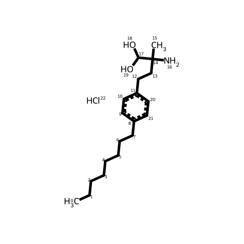 CCCCCCCCc1ccc(CCC(C)(N)C(O)O)cc1.Cl